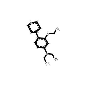 CCOc1cc(N(CC)CC)ccc1-c1ccncc1